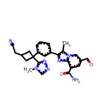 Cc1c(-c2cccc(C3(c4nncn4C)CC(CC#N)C3)c2)nc2c(C(N)=O)cc(C=O)cn12